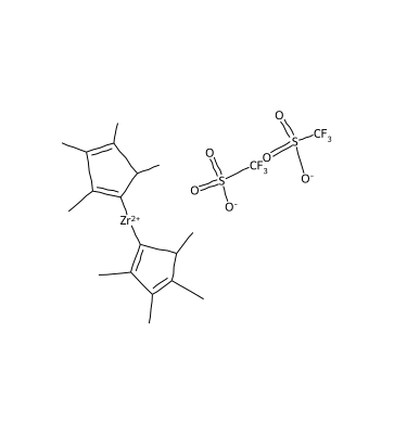 CC1=C(C)C(C)[C]([Zr+2][C]2=C(C)C(C)=C(C)C2C)=C1C.O=S(=O)([O-])C(F)(F)F.O=S(=O)([O-])C(F)(F)F